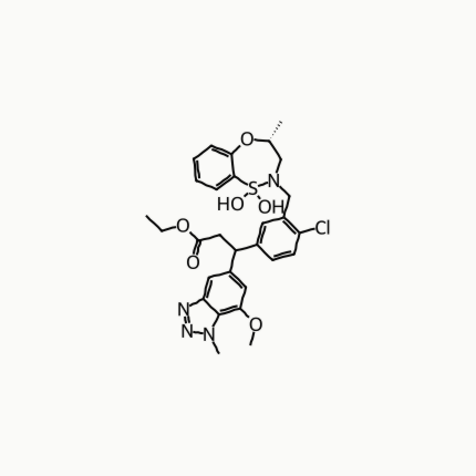 CCOC(=O)CC(c1ccc(Cl)c(CN2C[C@@H](C)Oc3ccccc3S2(O)O)c1)c1cc(OC)c2c(c1)nnn2C